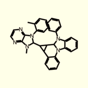 Cc1ccccc1N1c2nccnc2N(C)C1C1C2c3ccccc3N3c4ccccc4N(c4ccccc4)C3C21